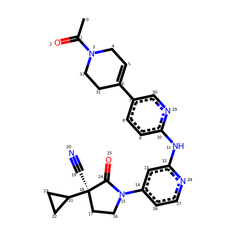 CC(=O)N1CC=C(c2ccc(Nc3cc(N4CC[C@@](C#N)(C5CC5)C4=O)ccn3)nc2)CC1